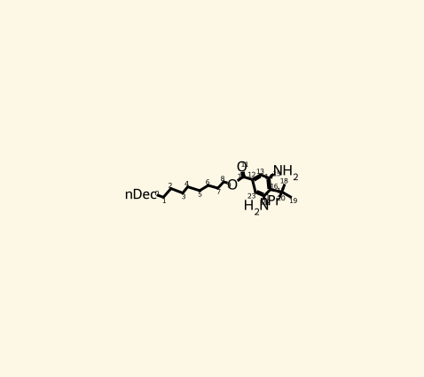 CCCCCCCCCCCCCCCCCCOC(=O)c1cc(N)c(C(C)(C)CCC)c(N)c1